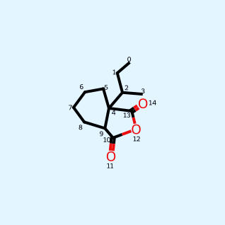 CCC(C)C12CCCCC1C(=O)OC2=O